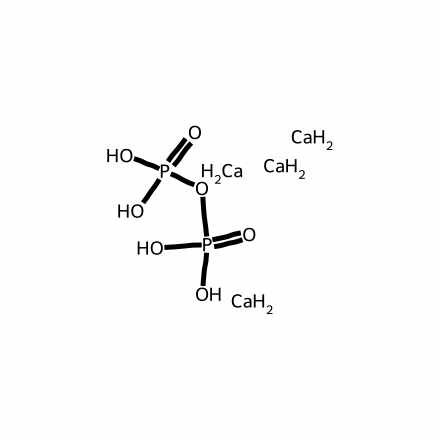 O=P(O)(O)OP(=O)(O)O.[CaH2].[CaH2].[CaH2].[CaH2]